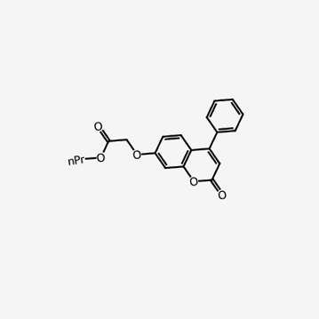 CCCOC(=O)COc1ccc2c(-c3ccccc3)cc(=O)oc2c1